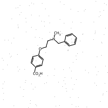 CN(CCOc1ccc(C(=O)O)cc1)Cc1ccccc1